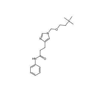 C[Si](C)(C)CCOCn1cnc(CCC(=O)Nc2ccccc2)c1